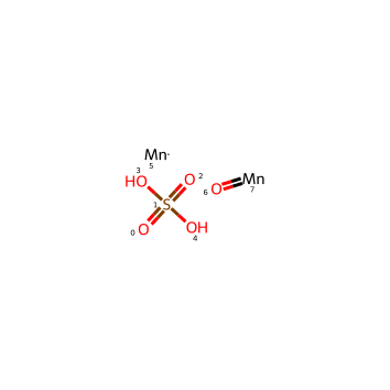 O=S(=O)(O)O.[Mn].[O]=[Mn]